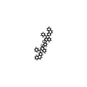 c1ccc(N(c2ccc3ccc4ccccc4c3c2)c2cc3oc4c(ccc5c4oc4cc(N(c6ccccc6)c6ccc7ccc8ccccc8c7c6)c6ccccc6c45)c3c3ccccc23)cc1